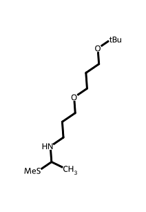 CSC(C)NCCCOCCCOC(C)(C)C